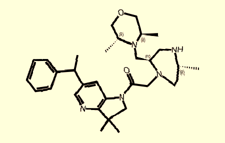 CC(c1ccccc1)c1cnc2c(c1)N(C(=O)CN1C[C@@H](C)NC[C@@H]1CN1[C@H](C)COC[C@H]1C)CC2(C)C